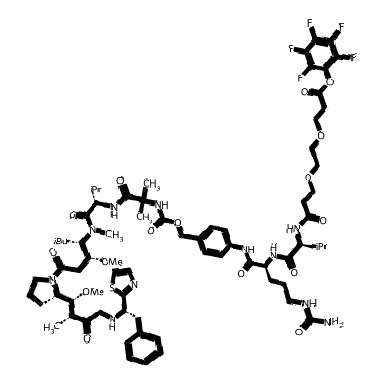 CCC(C)[C@@H]([C@@H](CC(=O)N1CCC[C@H]1[C@H](OC)[C@@H](C)C(=O)CN[C@@H](Cc1ccccc1)c1nccs1)OC)N(C)C(=O)[C@@H](NC(=O)C(C)(C)NC(=O)OCc1ccc(NC(=O)[C@H](CCCNC(N)=O)NC(=O)[C@@H](NC(=O)CCOCCOCCC(=O)Oc2c(F)c(F)c(F)c(F)c2F)C(C)C)cc1)C(C)C